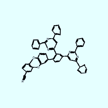 N#Cc1ccc2c(c1)Oc1cc(-c3ccc(-c4cc(C5C=CC=CC5)nc(-c5ccccc5)n4)cc3-c3cc(-c4ccccc4)nc(-c4ccccc4)n3)ccc1O2